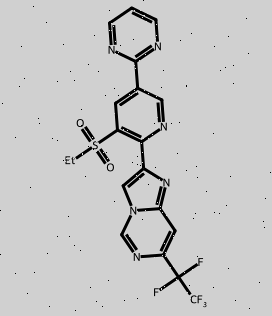 CCS(=O)(=O)c1cc(-c2ncccn2)cnc1-c1cn2cnc(C(F)(F)C(F)(F)F)cc2n1